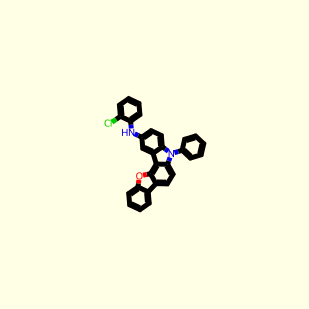 Clc1ccccc1Nc1ccc2c(c1)c1c3oc4ccccc4c3ccc1n2-c1ccccc1